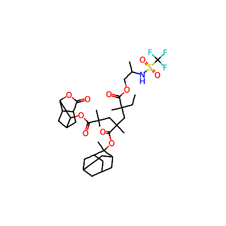 CCC(C)(CC(C)(CC(C)(C)C(=O)OC1C2CC3C(=O)OC1C3C2)C(=O)OC1(C)C2CC3CC(C2)CC1C3)C(=O)OCC(C)NS(=O)(=O)C(F)(F)F